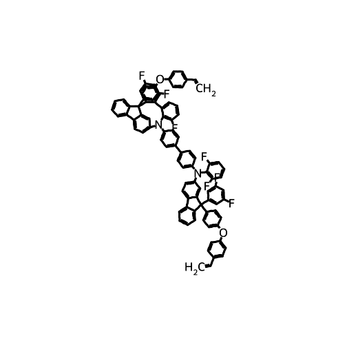 C=Cc1ccc(Oc2ccc(C3(c4cc(F)cc(F)c4)c4ccccc4-c4ccc(N(c5ccc(-c6ccc(N7c8ccc9c(c8)C(c8cc(F)cc(F)c8)(c8ccccc8-9)c8ccc(Oc9ccc(C=C)cc9)cc8-c8cccc(F)c87)cc6)cc5)c5c(F)cccc5F)cc43)cc2)cc1